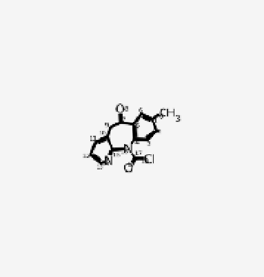 Cc1ccc2c(c1)C(=O)Cc1cccnc1N2C(=O)Cl